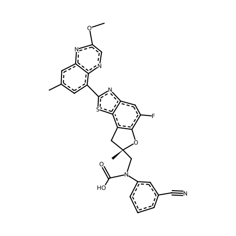 COc1cnc2c(-c3nc4cc(F)c5c(c4s3)C[C@@](C)(CN(C(=O)O)c3cccc(C#N)c3)O5)cc(C)cc2n1